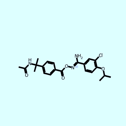 CC(=O)NC(C)(C)c1ccc(C(=O)O/N=C(\N)c2ccc(OC(C)C)c(Cl)c2)cc1